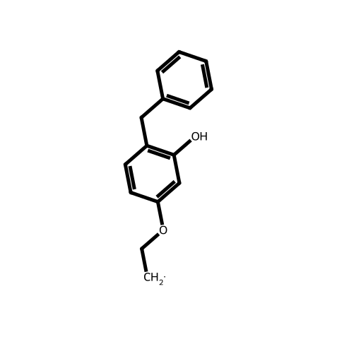 [CH2]COc1ccc(Cc2ccccc2)c(O)c1